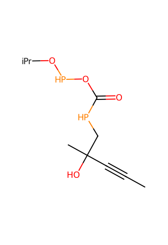 CC#CC(C)(O)CPC(=O)OPOC(C)C